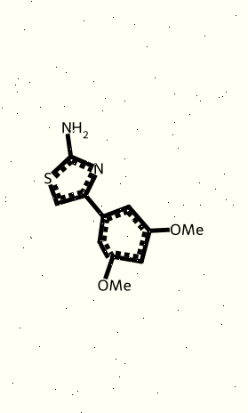 COc1cc(OC)cc(-c2csc(N)n2)c1